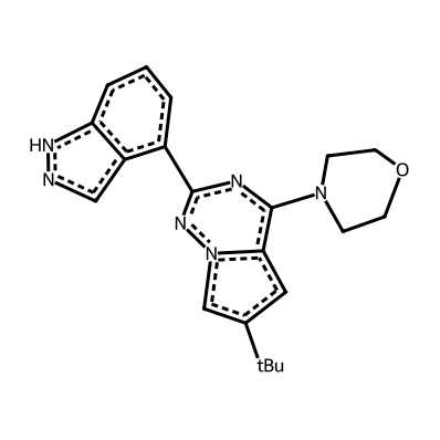 CC(C)(C)c1cc2c(N3CCOCC3)nc(-c3cccc4[nH]ncc34)nn2c1